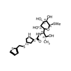 CS[C@H]1OC([C@H](NC(=O)[C@@H]2C[C@H](SCc3cccs3)CN2)[C@@H](C)O)[C@H](O)[C@H](O)[C@H]1O